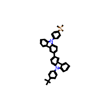 CC(C)(C)c1ccc(-n2c3ccccc3c3cc(-c4ccc5c(c4)c4ccccc4n5-c4ccc(S(C)(C)C)cc4)ccc32)cc1